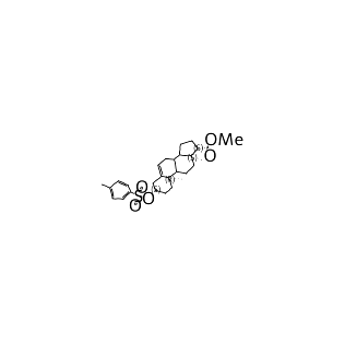 COC(=O)[C@H]1CCC2C3CC=C4C[C@@H](OS(=O)(=O)c5ccc(C)cc5)CC[C@]4(C)C3CC[C@@]21C